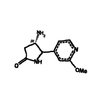 COc1cc(C2NC(=O)C[C@@H]2N)ccn1